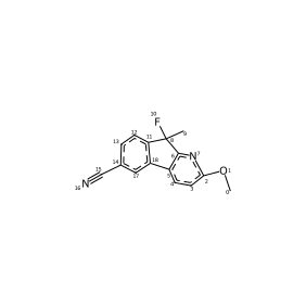 COc1ccc2c(n1)C(C)(F)c1ccc(C#N)cc1-2